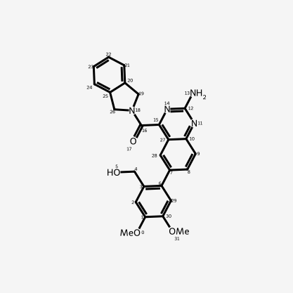 COc1cc(CO)c(-c2ccc3nc(N)nc(C(=O)N4Cc5ccccc5C4)c3c2)cc1OC